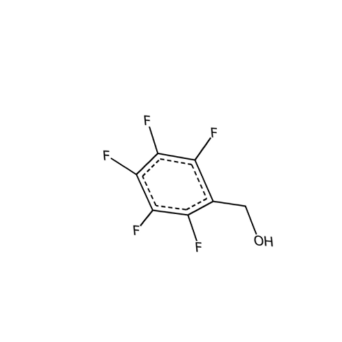 OCc1c(F)c(F)c(F)c(F)c1F